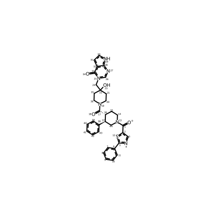 O=C(c1cnc(-c2ccccc2)s1)N1CC[C@@H](C(=O)N2CCC(O)(Cn3cnc4[nH]ccc4c3=O)CC2)[C@H](c2ccccc2)C1